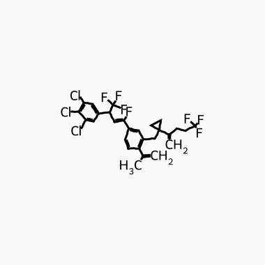 C=C(C)c1ccc(/C(F)=C/C(c2cc(Cl)c(Cl)c(Cl)c2)C(F)(F)F)cc1CC1(C(=C)CCC(F)(F)F)CC1